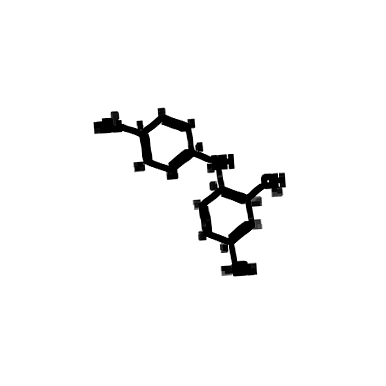 CCCCc1ccc(Nc2ccc(C(C)(C)C)cc2O)cc1